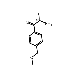 COCc1ccc(C(=O)[C@H](C)N)cc1